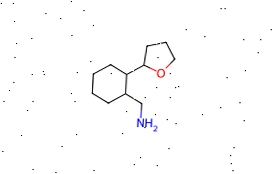 NCC1CCCCC1C1CCCO1